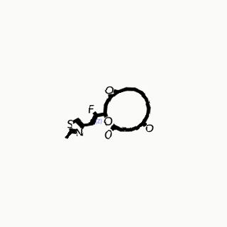 Cc1nc(/C=C(\F)C2CC3OC3CCCCCCC(=O)CCCC(=O)O2)cs1